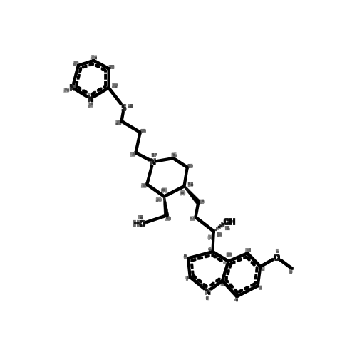 COc1ccc2nccc([C@@H](O)CC[C@@H]3CCN(CCCSc4cccnn4)C[C@@H]3CO)c2c1